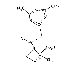 Cc1cc(C)cc(CC(=O)N2CC[C@]2(C)C(=O)O)c1